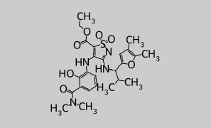 CCOC(=O)C1=C(Nc2cccc(C(=O)N(C)C)c2O)C(N[C@@H](c2cc(C)c(C)o2)C(C)C)=NS1(=O)=O